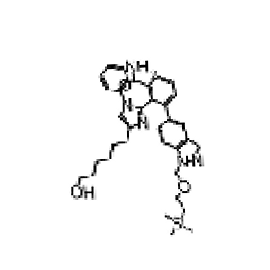 C[Si](C)(C)CCOCn1ncc2cc(-c3cccc(C(N)=O)c3-c3nc(CCCCCCO)cn3-c3ccccc3)ccc21